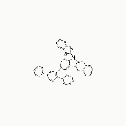 c1ccc(-c2ccc(-c3ccccc3)c(-c3cc4c5cc6ccccc6cc5n5c4c(c3)n3c4ccccc4nc35)c2)cc1